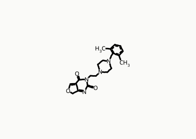 Cc1cccc(C)c1N1CCN(CCN2C(=O)N=C3COC=C3C2=O)CC1